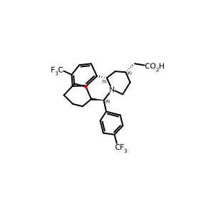 O=C(O)C[C@@H]1CCN([C@@H](c2ccc(C(F)(F)F)cc2)C2CCCCC2)[C@H](c2ccc(C(F)(F)F)cc2)C1